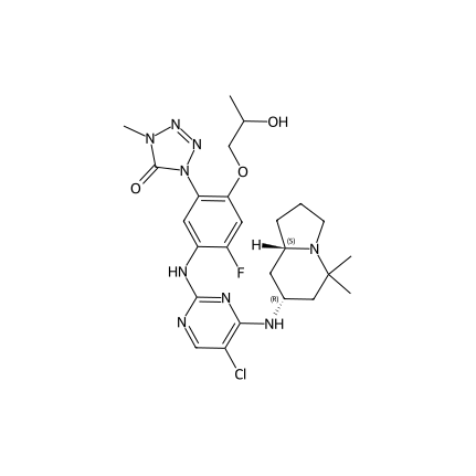 CC(O)COc1cc(F)c(Nc2ncc(Cl)c(N[C@@H]3C[C@@H]4CCCN4C(C)(C)C3)n2)cc1-n1nnn(C)c1=O